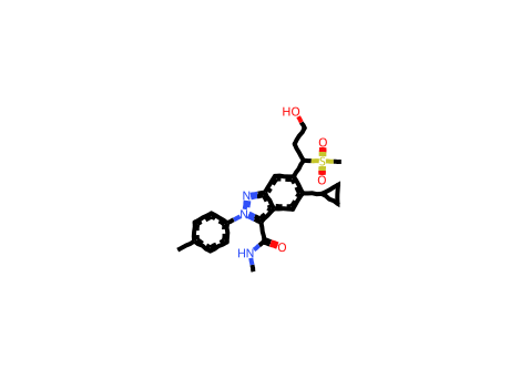 CNC(=O)c1c2cc(C3CC3)c(C(CCO)S(C)(=O)=O)cc2nn1-c1ccc(C)cc1